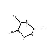 FC1CSC(F)C(F)N1